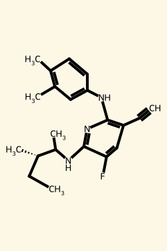 C#Cc1cc(F)c(NC(C)[C@@H](C)CC)nc1Nc1ccc(C)c(C)c1